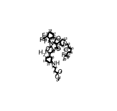 CCOC(=O)CCCNc1cccc(C(N)Cn2c(=O)c3c(n(Cc4c(F)cccc4C(F)(F)F)c2=O)COC32CCN(Cc3ccc(C(F)(F)F)o3)CC2)c1